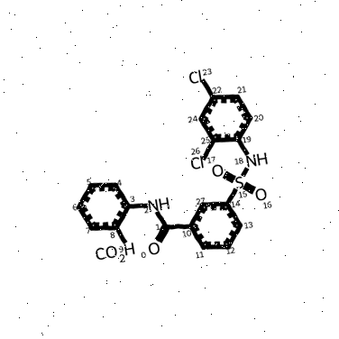 O=C(Nc1ccccc1C(=O)O)c1cccc(S(=O)(=O)Nc2ccc(Cl)cc2Cl)c1